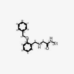 CCNC(=O)CNCc1ccccc1OCc1ccccc1